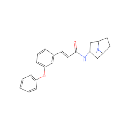 CN1C2CCC1CC(NC(=O)C=Cc1cccc(Oc3ccccc3)c1)C2